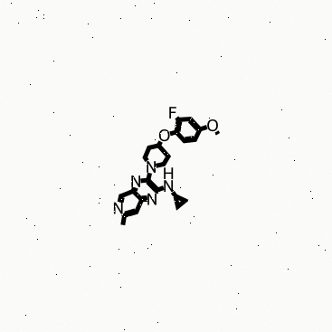 COc1ccc(OC2CCN(c3nc4cnc(C)cc4nc3NC3CC3)CC2)c(F)c1